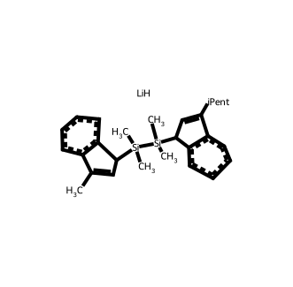 CCCC(C)C1=CC([Si](C)(C)[Si](C)(C)C2C=C(C)c3ccccc32)c2ccccc21.[LiH]